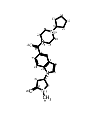 CN1CC(n2ccc3cc(C(=O)N4CCN(C5CCCC5)CC4)ccc32)CC1=O